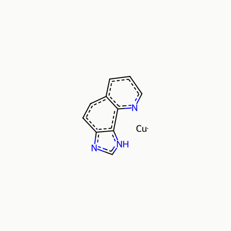 [Cu].c1cnc2c(c1)ccc1nc[nH]c12